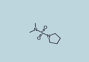 CN(C)S(=O)(=O)N1CCCC1